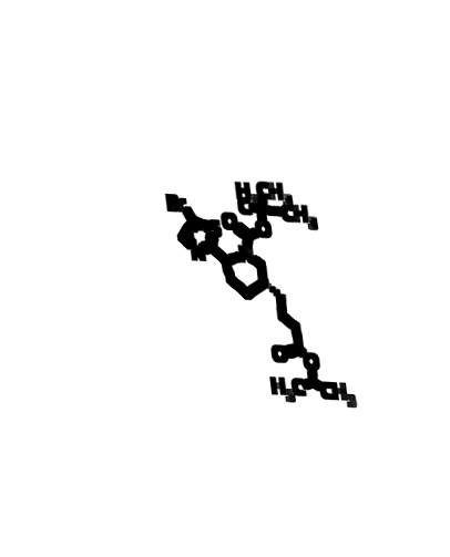 CC(C)OC(=O)CCC[C@@H]1CCC(c2ncc(Br)s2)N(C(=O)OC(C)(C)C)C1